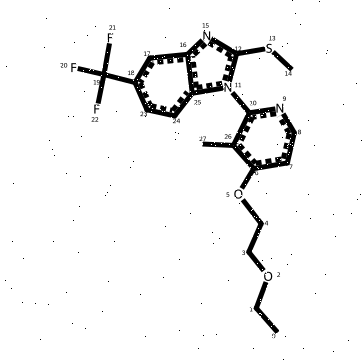 CCOCCOc1ccnc(-n2c(SC)nc3cc(C(F)(F)F)ccc32)c1C